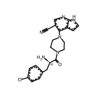 N#Cc1cnc2[nH]ccc2c1N1CCN(C(=O)[C@H](N)Cc2ccc(Cl)cc2)CC1